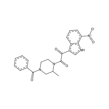 CC1CN(C(=O)c2ccccc2)CCN1C(=O)C(=O)c1c[nH]c2c([N+](=O)[O-])cccc12